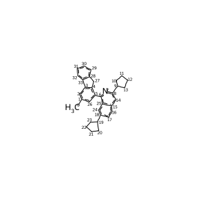 Cc1cc2c(c(-c3nc(C4CCCC4)cc4ccc(C5CCCC5)cc34)c1)Cc1ccccc1-2